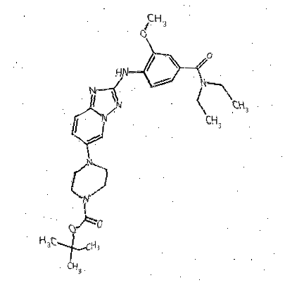 CCN(CC)C(=O)c1ccc(Nc2nc3ccc(N4CCN(C(=O)OC(C)(C)C)CC4)cn3n2)c(OC)c1